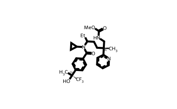 CCC(CC[C@](C)(CNC(=O)OC)c1ccccn1)N(C(=O)c1ccc([C@](C)(O)C(F)(F)F)cc1)C1CC1